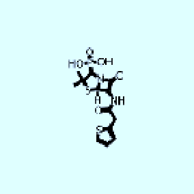 CC1(C)S[C@H]2C(NC(=O)Cc3cccs3)C(=O)N2C1P(=O)(O)O